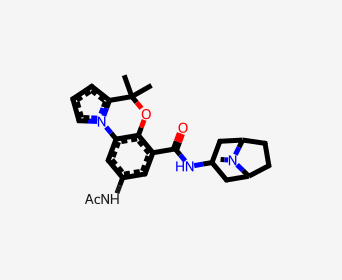 CC(=O)Nc1cc(C(=O)NC2CC3CCC(C2)N3C)c2c(c1)-n1cccc1C(C)(C)O2